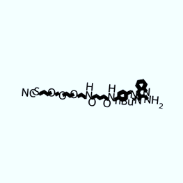 CCCCc1nc2c(N)nc3ccccc3c2n1Cc1ccc(CNC(=O)CCCC(=O)NCCCOCCOCCOCCCSC#N)cc1